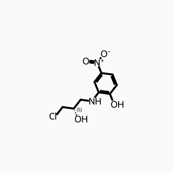 O=[N+]([O-])c1ccc(O)c(NC[C@H](O)CCl)c1